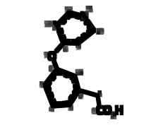 O=C(O)Cc1cccc(Oc2ccncn2)c1